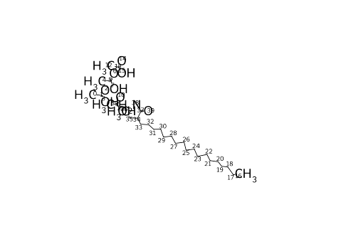 CC(=O)O.CC(=O)O.CC(=O)O.CC(=O)O.CCCCCCCCCCCCCCCCCCC(CC)C(N)=O